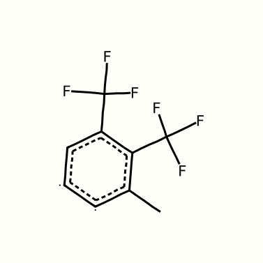 Cc1[c][c]cc(C(F)(F)F)c1C(F)(F)F